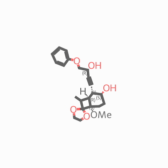 CO[C@@]12CC[C@H](O)[C@@H](C#C[C@@H](O)COc3ccccc3)[C@@H]1C(C)C21OCCO1